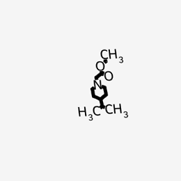 CCOC(=O)CN1CCC(C(C)C)CC1